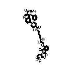 CNC(=O)c1cnc2ccc(N3CCC(C(=O)NCCCCNC(=O)COc4cccc5c4C(=O)N(C4CCC(=O)NC4=O)C5=O)CC3)cc2c1Nc1ccccc1